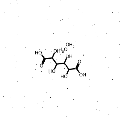 O.O.O=C(O)C(O)C(O)C(O)C(O)C(=O)O